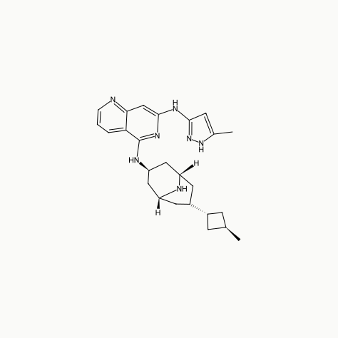 Cc1cc(Nc2cc3ncccc3c(N[C@@H]3C[C@H]4CC([C@H]5C[C@H](C)C5)C[C@@H](C3)N4)n2)n[nH]1